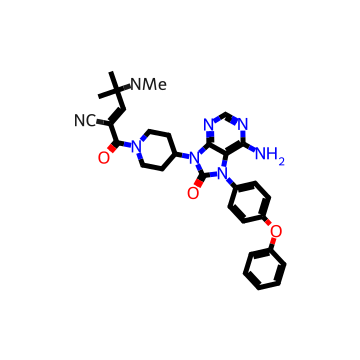 CNC(C)(C)C=C(C#N)C(=O)N1CCC(n2c(=O)n(-c3ccc(Oc4ccccc4)cc3)c3c(N)ncnc32)CC1